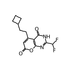 O=c1cc(CCC2CCC2)c2c(=O)[nH]c(C(F)F)nc2o1